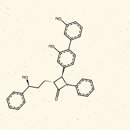 O=C1[C@H](CC[C@H](O)c2ccccc2)[C@@H](c2ccc(-c3cccc(O)c3)c(O)c2)N1c1ccccc1